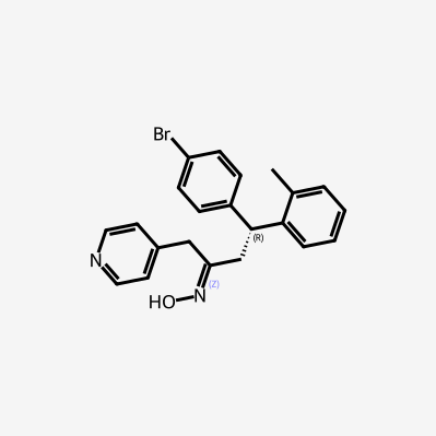 Cc1ccccc1[C@H](C/C(Cc1ccncc1)=N/O)c1ccc(Br)cc1